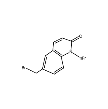 CCCn1c(=O)ccc2cc(CBr)ccc21